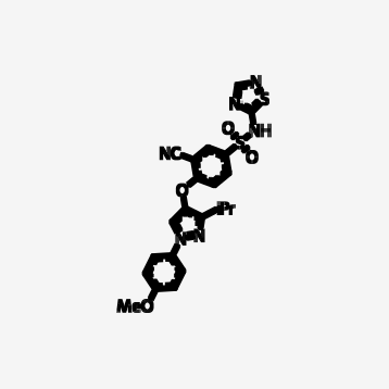 COc1ccc(-n2cc(Oc3ccc(S(=O)(=O)Nc4ncns4)cc3C#N)c(C(C)C)n2)cc1